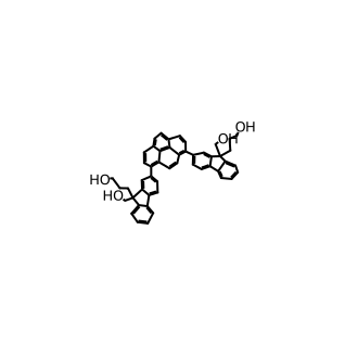 OCCCC1(CO)c2ccccc2-c2ccc(-c3ccc4ccc5ccc(-c6ccc7c(c6)C(CO)(CCCO)c6ccccc6-7)c6ccc3c4c56)cc21